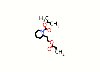 C=CC(=O)OCCC1CCCCN1C(=O)OC(C)C